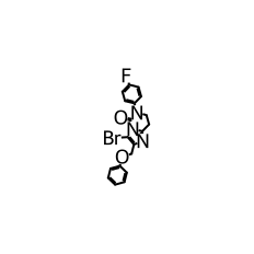 O=C1N(c2ccc(F)cc2)CCc2nc(COc3ccccc3)c(Br)n21